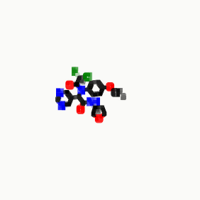 O=C(N[C@@H]1CCOC1)C(c1cncnc1)N(C(=O)[C@H](F)Cl)c1ccc(OC(F)(F)F)cc1